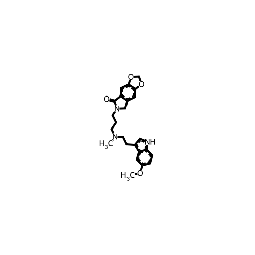 COc1ccc2[nH]cc(CCN(C)CCCN3Cc4cc5c(cc4C3=O)OCO5)c2c1